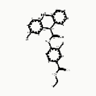 CCOC(=O)c1ccc(OC(=O)C2c3ccccc3Nc3ccc(C)cc32)c(C)c1